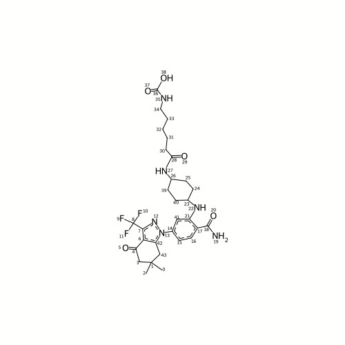 CC1(C)CC(=O)c2c(C(F)(F)F)nn(-c3ccc(C(N)=O)c(NC4CCC(NC(=O)CCCCCNC(=O)O)CC4)c3)c2C1